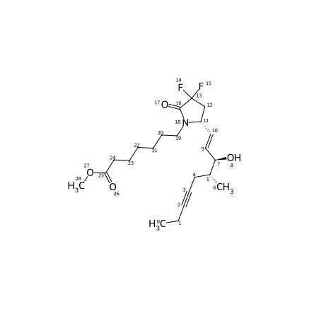 CCC#CC[C@@H](C)[C@H](O)/C=C/[C@H]1CC(F)(F)C(=O)N1CCCCCCC(=O)OC